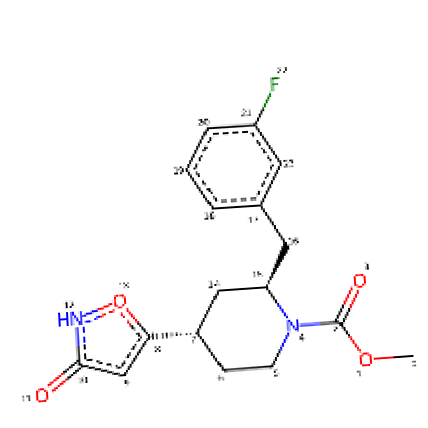 COC(=O)N1CC[C@H](c2cc(=O)[nH]o2)C[C@H]1Cc1cccc(F)c1